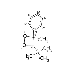 CC(C)(C)C1OOC1(C)c1ccccc1